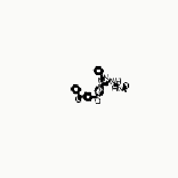 CC(=O)NCCNc1cc(N2CCN(C(=O)c3ccc(C(=O)c4ccccc4)cc3)CC2)nc(-c2ccccc2)n1